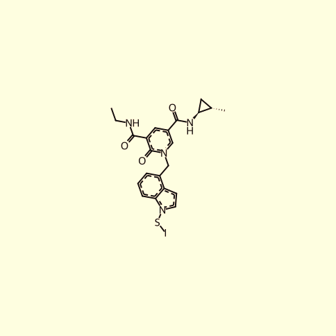 CCNC(=O)c1cc(C(=O)N[C@H]2C[C@@H]2C)cn(Cc2cccc3c2ccn3SI)c1=O